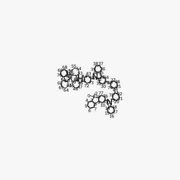 CC1(C)c2ccccc2-c2cc(N(c3ccccc3)c3cccc(-c4cccc(-c5ccc6c(c5)c5ccccc5n6-c5ccc(C6CCCC7[C@@H]6C6CCCCC6(C)C7(C6=CC=CCC6)c6ccccc6)cc5)c4)c3)ccc21